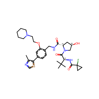 Cc1ncsc1-c1ccc(CNC(=O)[C@@H]2C[C@@H](O)CN2C(=O)[C@@H](NC(=O)C2(F)CC2)C(C)(C)C)c(OCCN2CCCCC2)c1